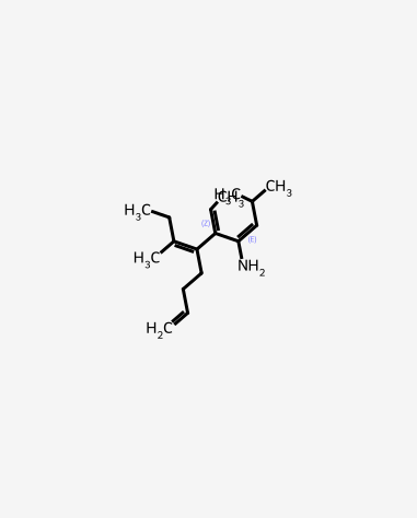 C=CCCC(=C(C)CC)C(=C/C)/C(N)=C\C(C)C